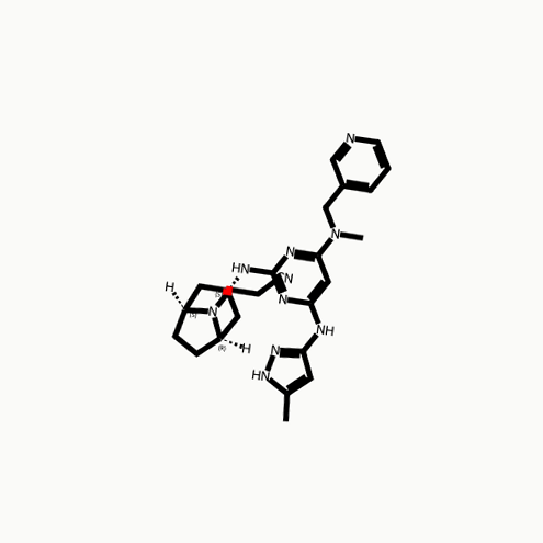 Cc1cc(Nc2cc(N(C)Cc3cccnc3)nc(N[C@@H]3C[C@H]4CC[C@@H](C3)N4CCC#N)n2)n[nH]1